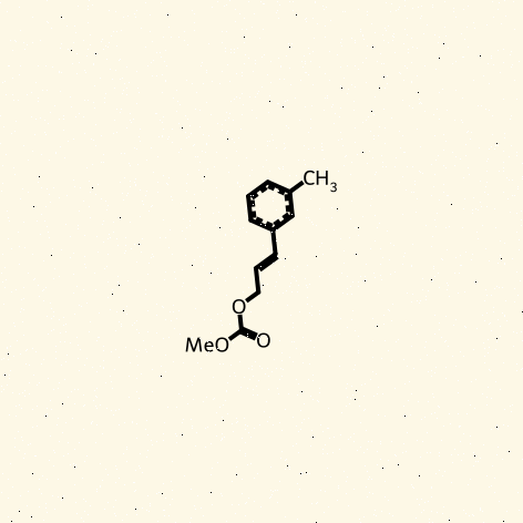 COC(=O)OCC=Cc1cccc(C)c1